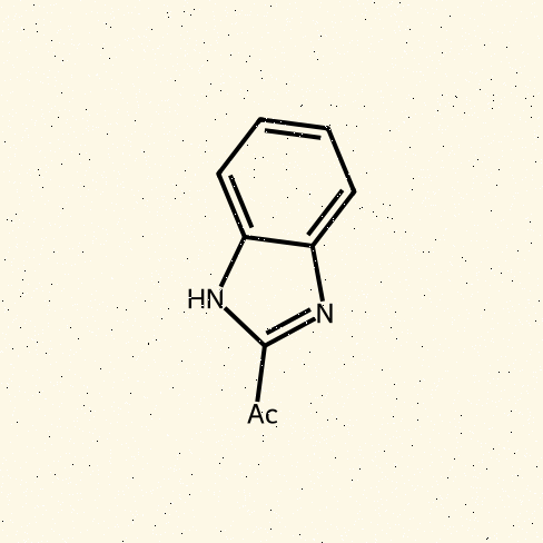 [CH2]C(=O)c1nc2ccccc2[nH]1